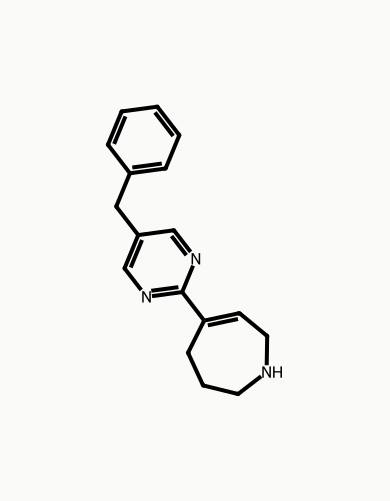 C1=C(c2ncc(Cc3ccccc3)cn2)CCCNC1